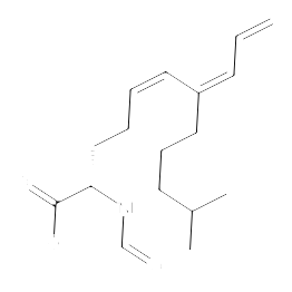 C=C/C=C(\C=C/CC[C@H](NC=O)C(=O)O)CCCC(C)C